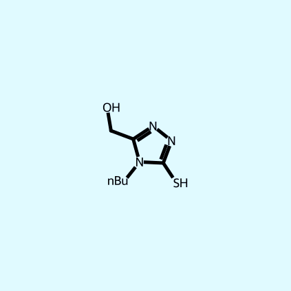 CCCCn1c(S)nnc1CO